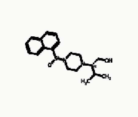 CC(C)[C@@H](CO)N1CCN([S+]([O-])c2cccc3ccccc23)CC1